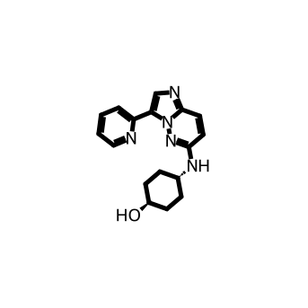 O[C@H]1CC[C@H](Nc2ccc3ncc(-c4ccccn4)n3n2)CC1